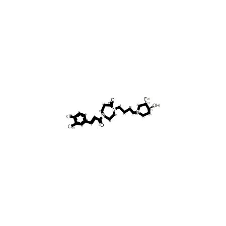 O=C(/C=C/c1ccc(Cl)c(Cl)c1)N1CCC(=O)N(CCCCN2CC[C@H](O)[C@@H](F)C2)CC1